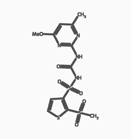 COc1cc(C)nc(NC(=O)NS(=O)(=O)c2ccsc2S(C)(=O)=O)n1